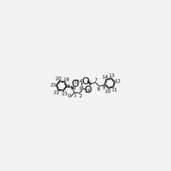 CC(CC1COC(CCc2ccccc2)O1)C(=O)c1ccccc1